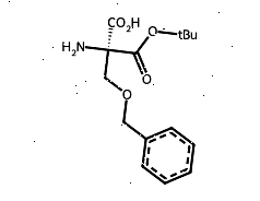 CC(C)(C)OC(=O)[C@](N)(COCc1ccccc1)C(=O)O